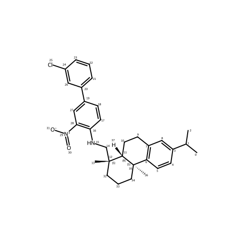 CC(C)c1ccc2c(c1)CC[C@H]1[C@@](C)(CNc3ccc(-c4cccc(Cl)c4)cc3[N+](=O)[O-])CCC[C@]21C